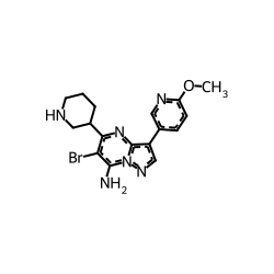 COc1ccc(-c2cnn3c(N)c(Br)c(C4CCCNC4)nc23)cn1